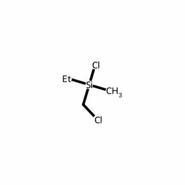 CC[Si](C)(Cl)CCl